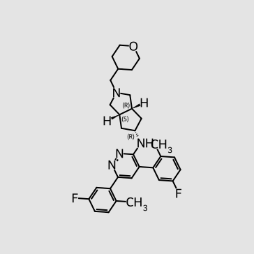 Cc1ccc(F)cc1-c1cc(-c2cc(F)ccc2C)c(N[C@@H]2C[C@@H]3CN(CC4CCOCC4)C[C@@H]3C2)nn1